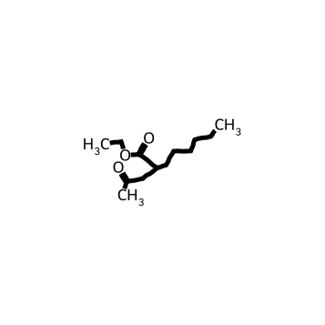 CCCCCCC(CC(C)=O)C(=O)OCC